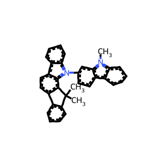 Cn1c2ccccc2c2ccc(-n3c4ccccc4c4ccc5c(c43)C(C)(C)c3ccccc3-5)cc21